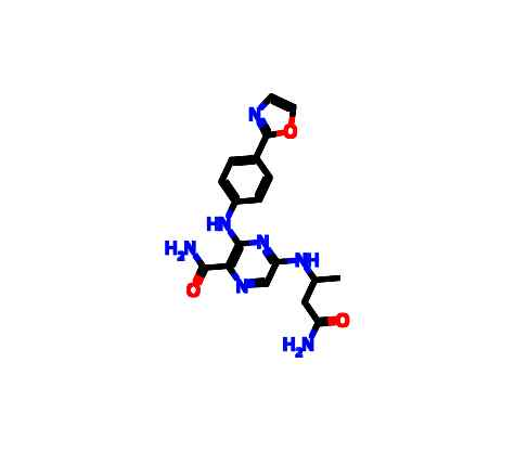 CC(CC(N)=O)Nc1cnc(C(N)=O)c(Nc2ccc(-c3ncco3)cc2)n1